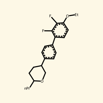 CCCC1CCC(c2ccc(-c3ccc(OCC)c(F)c3F)cc2)CO1